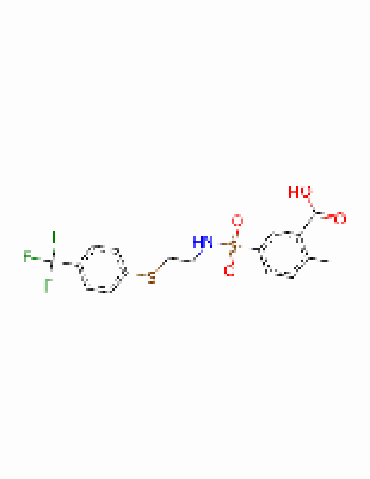 Cc1ccc(S(=O)(=O)NCCSc2ccc(C(F)(F)F)cc2)cc1C(=O)O